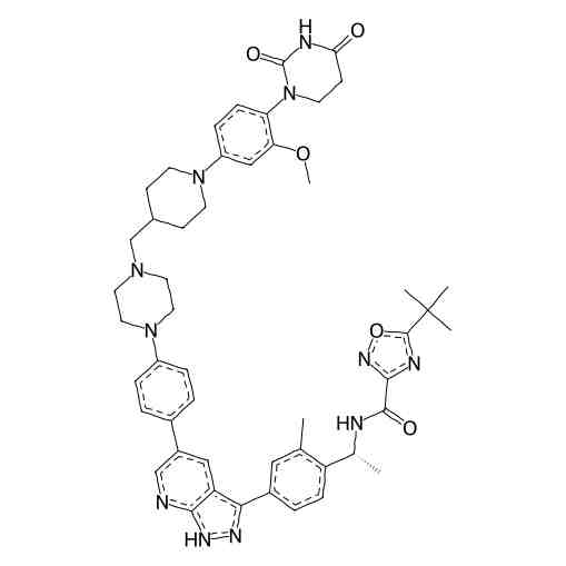 COc1cc(N2CCC(CN3CCN(c4ccc(-c5cnc6[nH]nc(-c7ccc([C@@H](C)NC(=O)c8noc(C(C)(C)C)n8)c(C)c7)c6c5)cc4)CC3)CC2)ccc1N1CCC(=O)NC1=O